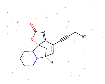 CC(C)CC#CC1=C[C@@H]2C[C@@]3(OC(=O)C=C13)C1CCCCN12